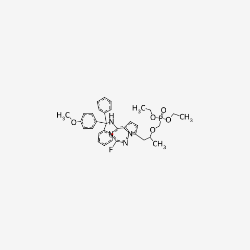 CCOP(=O)(COC(C)Cc1ccc2c(NC(c3ccccc3)(c3ccccc3)c3ccc(OC)cc3)nc(F)nn12)OCC